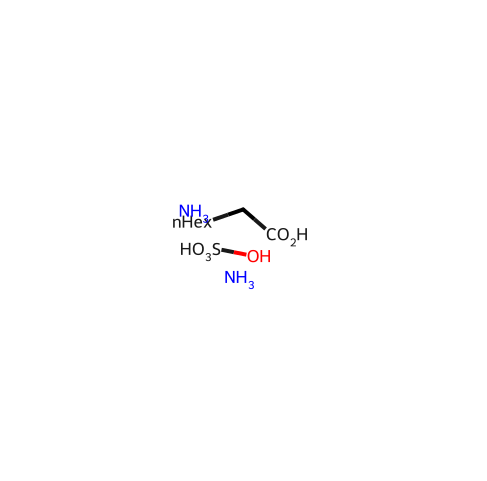 CCCCCCCC(=O)O.N.N.O=S(=O)(O)O